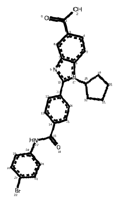 O=C(O)c1ccc2c(c1)nc(-c1ccc(C(=O)Nc3ccc(Br)cc3)cc1)n2C1CCCC1